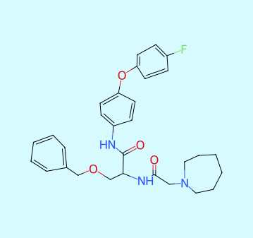 O=C(CN1CCCCCC1)NC(COCc1ccccc1)C(=O)Nc1ccc(Oc2ccc(F)cc2)cc1